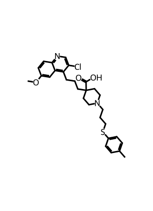 COc1ccc2ncc(Cl)c(CCCC3(C(=O)O)CCN(CCCSc4ccc(C)cc4)CC3)c2c1